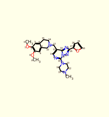 COc1cc2c(cc1OC)CN(Cc1cnc(N3CCN(C)CC3)n3nc(-c4ccco4)nc13)CC2